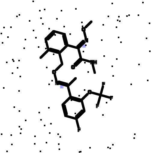 CNC(=O)/C(=N/OC)c1cccc(C)c1CO/N=C(\C)c1ccc(F)cc1OC(F)(F)F